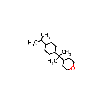 CC(C)C1CCC(C(C)(C)C2CCOCC2)CC1